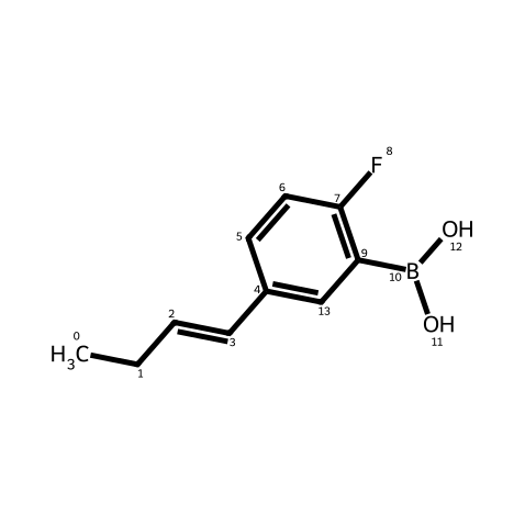 CC/C=C/c1ccc(F)c(B(O)O)c1